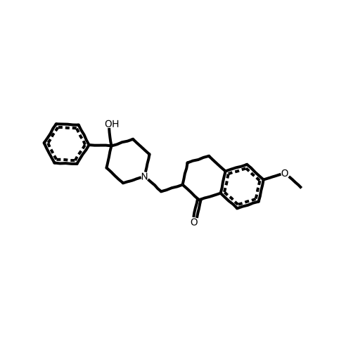 COc1ccc2c(c1)CCC(CN1CCC(O)(c3ccccc3)CC1)C2=O